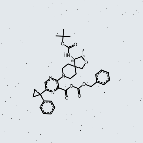 C[C@@H]1OCC2(CCN(c3ncc(C4(c5ccccc5)CC4)nc3C(=O)OC(=O)OCc3ccccc3)CC2)[C@@H]1NC(=O)OC(C)(C)C